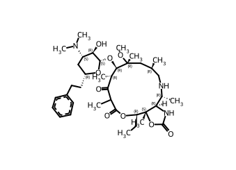 CC[C@H]1OC(=O)C(C)C(=O)[C@H](C)[C@@H](O[C@@H]2O[C@H](CCc3ccccc3)C[C@H](N(C)C)[C@H]2O)[C@](C)(OC)C[C@@H](C)CN[C@H](C)[C@H]2NC(=O)O[C@@]21C